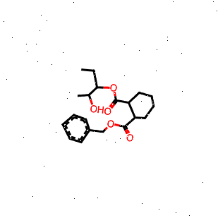 CCC(OC(=O)C1CCCCC1C(=O)OCc1ccccc1)C(C)O